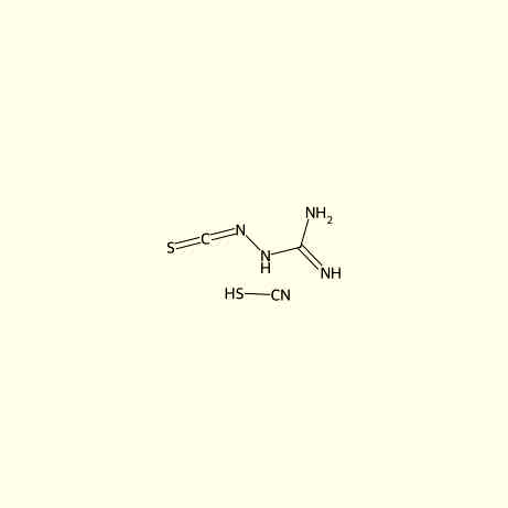 N#CS.N=C(N)NN=C=S